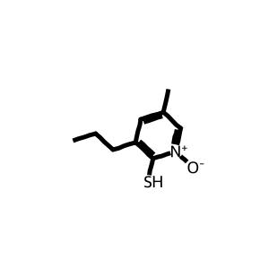 CCCc1cc(C)c[n+]([O-])c1S